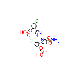 NS(=O)(=O)c1ccc(-c2cc(Cl)ccc2OCC(=O)O)nc1.O=C(O)COc1ccc(Cl)cc1-c1cncnc1